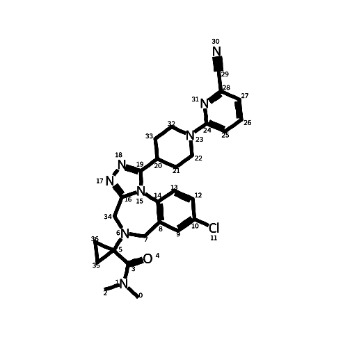 CN(C)C(=O)C1(N2Cc3cc(Cl)ccc3-n3c(nnc3C3CCN(c4cccc(C#N)n4)CC3)C2)CC1